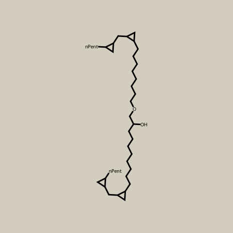 CCCCCC1CC1CC1CC1CCCCCCCCOCC(O)CCCCCCCCC1CC1CC1CC1CCCCC